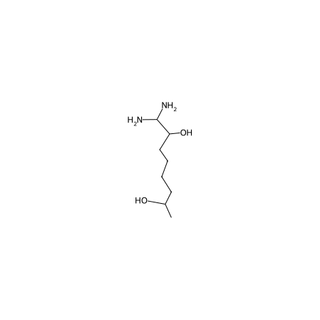 CC(O)CCCCC(O)C(N)N